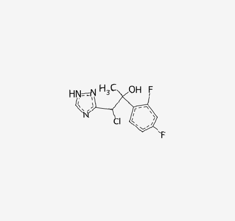 CC(O)(c1ccc(F)cc1F)C(Cl)c1nc[nH]n1